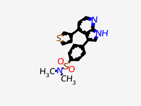 CN(C)S(=O)(=O)c1ccc(-c2c[nH]c3nccc(-c4ccsc4)c23)cc1